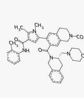 Cc1ccccc1NC(=O)c1cc(-c2cc3c(cc2C(=O)N2Cc4ccccc4C[C@H]2CN2CCOCC2)CN(C(=O)O)CC3)n(C)c1C